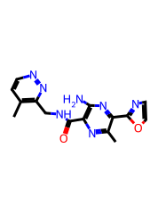 Cc1ccnnc1CNC(=O)c1nc(C)c(-c2ncco2)nc1N